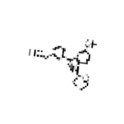 OCc1cccc(-c2nn(C3CCCCO3)c3ccc(O)cc23)c1